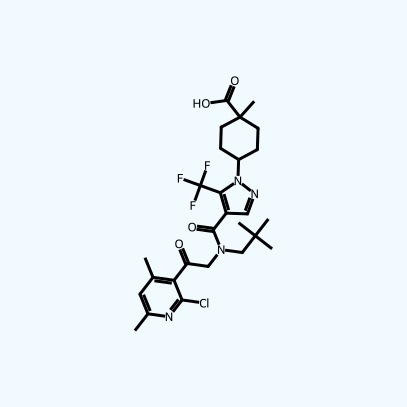 Cc1cc(C)c(C(=O)CN(CC(C)(C)C)C(=O)c2cnn(C3CCC(C)(C(=O)O)CC3)c2C(F)(F)F)c(Cl)n1